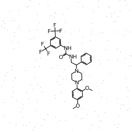 COc1ccc(N2CCN(C(CNC(=O)Nc3cc(C(F)(F)F)cc(C(F)(F)F)c3)c3ccccc3)CC2)c(OC)c1